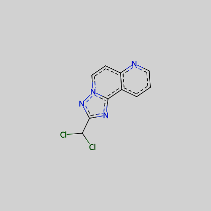 ClC(Cl)c1nc2c3cccnc3ccn2n1